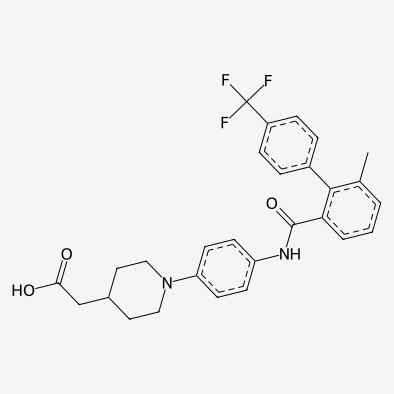 Cc1cccc(C(=O)Nc2ccc(N3CCC(CC(=O)O)CC3)cc2)c1-c1ccc(C(F)(F)F)cc1